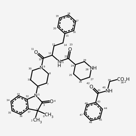 CC1(C)C(=O)N(C2CCN(C(=O)C(CCc3ccccc3)NC(=O)C3CCCNC3)CC2)c2ccccc21.O=C(O)CNC(=O)c1ccccc1